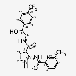 Cc1cccc(C(=O)NN2NC=CC2C(=O)NCC(O)c2ccc(C(F)(F)F)cc2)n1